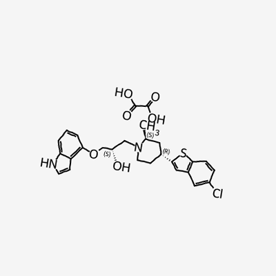 C[C@H]1C[C@H](c2cc3cc(Cl)ccc3s2)CCN1C[C@H](O)COc1cccc2[nH]ccc12.O=C(O)C(=O)O